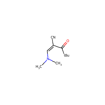 CN(C)/C=C(/C#N)C(=O)C(C)(C)C